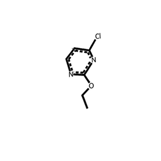 CCOc1nc[c]c(Cl)n1